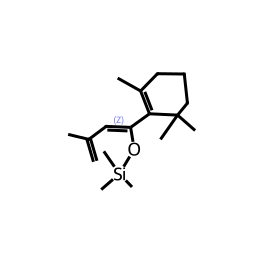 C=C(C)/C=C(\O[Si](C)(C)C)C1=C(C)CCCC1(C)C